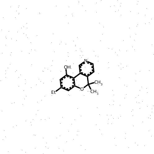 CCc1cc(O)c2c(c1)OC(C)(C)c1ccncc1-2